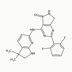 CC1(C)CNc2nc(Nc3nc(-c4c(F)cccc4F)nc4c3C(=O)NC4)ccc21